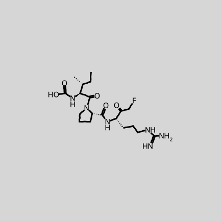 CC[C@@H](C)[C@H](NC(=O)O)C(=O)N1CCC[C@H]1C(=O)N[C@@H](CCCNC(=N)N)C(=O)CF